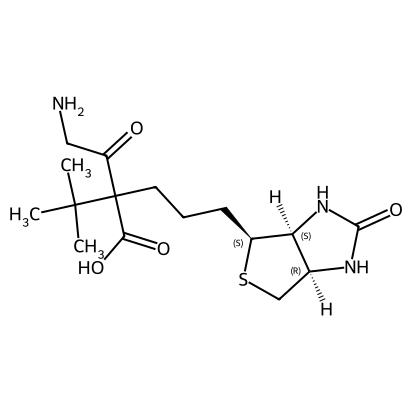 CC(C)(C)C(CCC[C@@H]1SC[C@@H]2NC(=O)N[C@@H]21)(C(=O)O)C(=O)CN